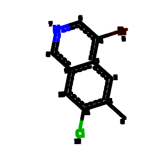 Cc1cc2c(Br)cncc2cc1Cl